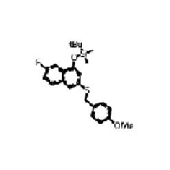 COc1ccc(CSc2cc(O[Si](C)(C)C(C)(C)C)c3cc(F)ccc3c2)cc1